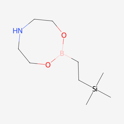 C[Si](C)(C)CCB1OCCNCCO1